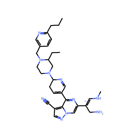 CCCc1ccc(CN2CCN(C3CC=C(c4nc(/C(=C/NC)CN)cn5ncc(C#N)c45)C=N3)CC2CC)cn1